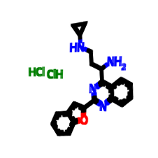 Cl.Cl.NC(CCNC1CC1)c1nc(-c2cc3ccccc3o2)nc2ccccc12